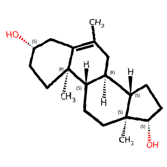 CC1=C2C[C@@H](O)CC[C@]2(C)[C@H]2CC[C@]3(C)[C@@H](O)CC[C@H]3[C@@H]2C1